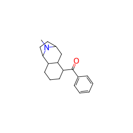 CN1C2CCC1C1CCCC(C(=O)c3ccccc3)C1C2